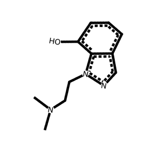 CN(C)CCn1ncc2cccc(O)c21